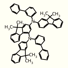 CC1(C)c2ccccc2-c2ccc(N(c3cccc(-c4ccccc4)c3)c3cc(N(c4cccc(-c5ccccc5)c4)c4ccc5c(c4)C(C)(C)c4ccccc4-5)c4c(c3)C(C)(C)c3ccccc3-4)cc21